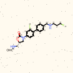 O=CNC[C@H]1CN(c2ccc(-c3ccc(CNCCCF)cc3)c(F)c2)C(=O)O1